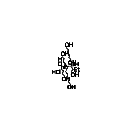 CCCC(O)C(CC)CO.Cl.OCCCCCCCCCCCCO.OCCCCCCO.OCCCCCO